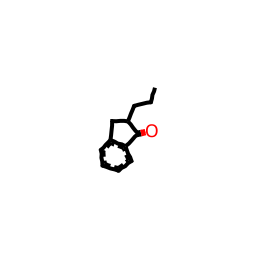 CCCC1Cc2ccccc2C1=O